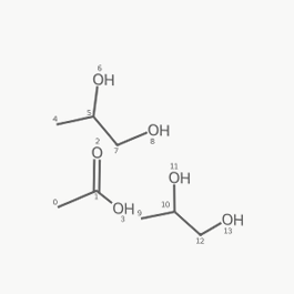 CC(=O)O.CC(O)CO.CC(O)CO